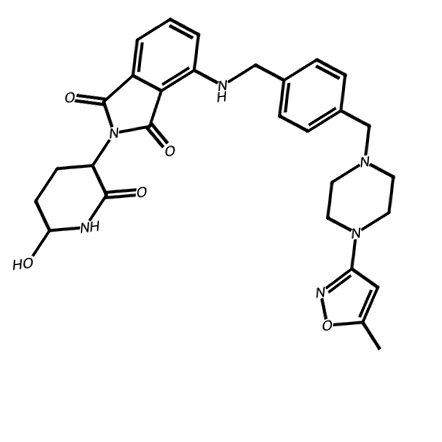 Cc1cc(N2CCN(Cc3ccc(CNc4cccc5c4C(=O)N(C4CCC(O)NC4=O)C5=O)cc3)CC2)no1